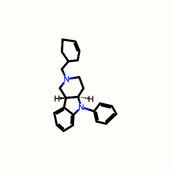 C1=CCC(CN2CC[C@@H]3[C@@H](C2)c2ccccc2N3c2ccccc2)CC1